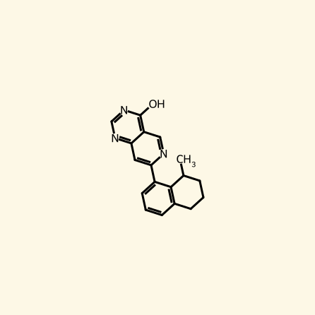 CC1CCCc2cccc(-c3cc4ncnc(O)c4cn3)c21